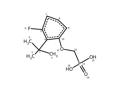 CC(C)(C)c1c(F)cccc1OCP(=O)(O)O